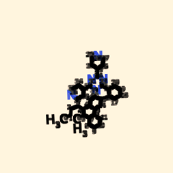 CC/C=C\c1c(C)c2ccccc2c2cc(-c3ccccc3-c3nc(-c4ccncc4)nc(-c4ccncc4)n3)ccc12